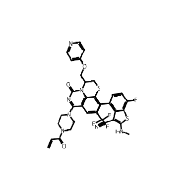 C=CC(=O)N1CCN(c2nc(=O)n3c4c(c(-c5ccc(F)c6sc(NC)c(C#N)c56)c(C(F)(F)F)cc24)SCC3COc2ccncc2)CC1